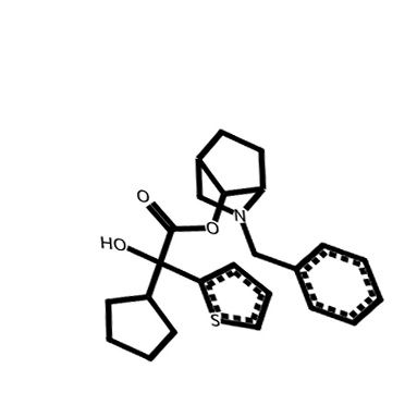 O=C(OC1C2CCC1N(Cc1ccccc1)C2)C(O)(c1cccs1)C1CCCC1